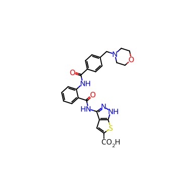 O=C(Nc1ccccc1C(=O)Nc1n[nH]c2sc(C(=O)O)cc12)c1ccc(CN2CCOCC2)cc1